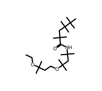 CCOC(C)(C)CCOC(C)(C)CC(C)(C)NC(=O)C(C)(C)CC(C)(C)C(C)(C)C